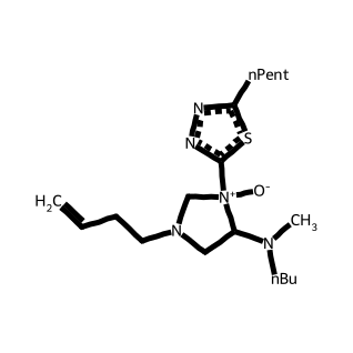 C=CCCN1CC(N(C)CCCC)[N+]([O-])(c2nnc(CCCCC)s2)C1